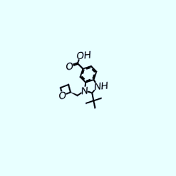 CC(C)(C)C1Nc2ccc(C(=O)O)cc2N1C[C@@H]1CCO1